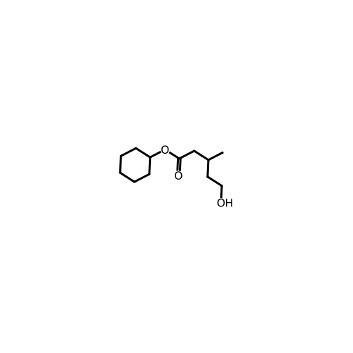 CC(CCO)CC(=O)OC1CCCCC1